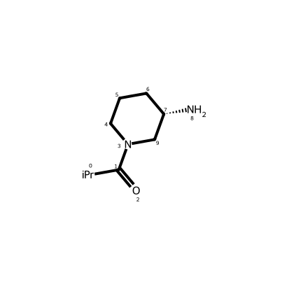 CC(C)C(=O)N1CCC[C@H](N)C1